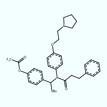 CCCCC(c1ccc(OC(=O)C(F)(F)F)cc1)N(C(=O)CCc1ccccc1)c1ccc(OCCN2CCCC2)cc1